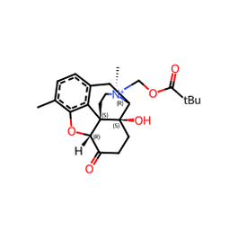 Cc1ccc2c3c1O[C@H]1C(=O)CC[C@@]4(O)C(C2)[N@+](C)(COC(=O)C(C)(C)C)CC[C@]314